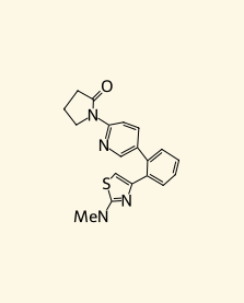 CNc1nc(-c2ccccc2-c2ccc(N3CCCC3=O)nc2)cs1